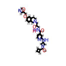 O=C(NC[C@H](O)CN1CCc2cc(OCc3cnco3)ccc2C1)c1ccnc(NC2CN(C(=O)C3CCC3)C2)c1